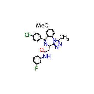 COc1ccc2c(c1)C(c1ccc(Cl)cc1)=NC(CC(=O)Nc1cccc(F)c1)c1nnc(C)n1-2